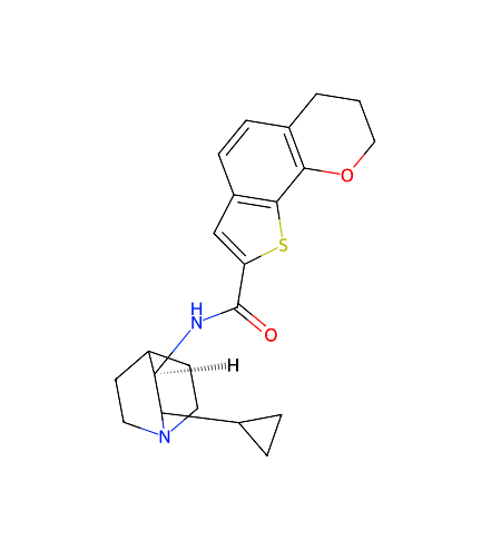 O=C(N[C@@H]1C2CCN(CC2)C1C1CC1)c1cc2ccc3c(c2s1)OCCC3